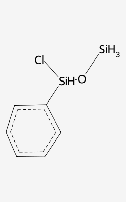 [SiH3]O[SiH](Cl)c1ccccc1